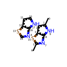 Cc1cc2sc(C)nc2[nH]1.c1cc2scnc2[nH]1